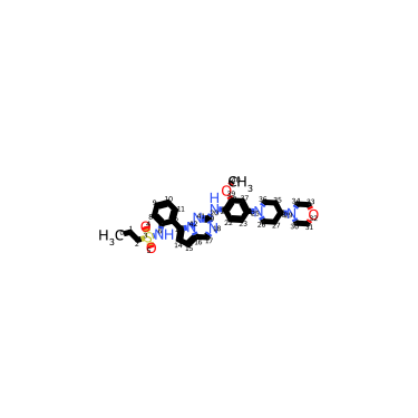 CCCS(=O)(=O)Nc1ccccc1-c1ccc2cnc(Nc3ccc(N4CCC(N5CCOCC5)CC4)cc3OC)nn12